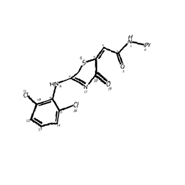 CC(C)NC(=O)C=C1SC(Nc2c(Cl)cccc2Cl)=NC1=O